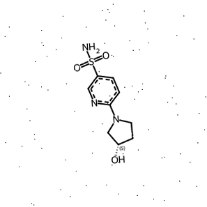 NS(=O)(=O)c1ccc(N2CC[C@H](O)C2)nc1